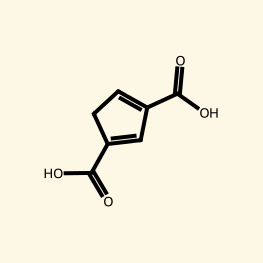 O=C(O)C1=CCC(C(=O)O)=C1